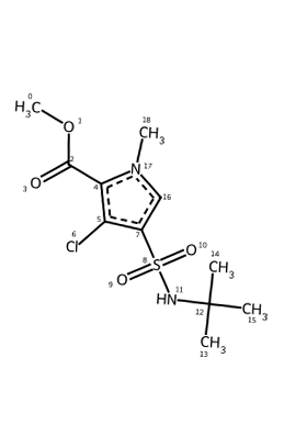 COC(=O)c1c(Cl)c(S(=O)(=O)NC(C)(C)C)cn1C